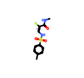 CNC(=O)/C(F)=C\NS(=O)(=O)c1ccc(C)cc1